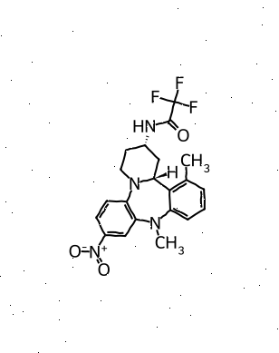 Cc1cccc2c1[C@H]1C[C@@H](NC(=O)C(F)(F)F)CCN1c1ccc([N+](=O)[O-])cc1N2C